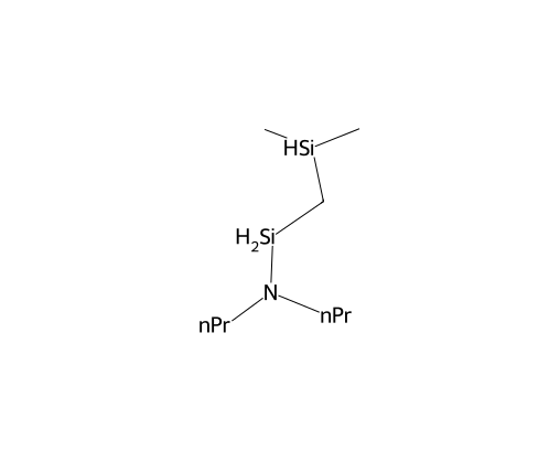 CCCN(CCC)[SiH2]C[SiH](C)C